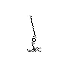 CCOOCCCCCCCCCCC[Si](C)(C)c1ccc([Si](C)(C)CCC[Si](OC)(OC)OC)cc1